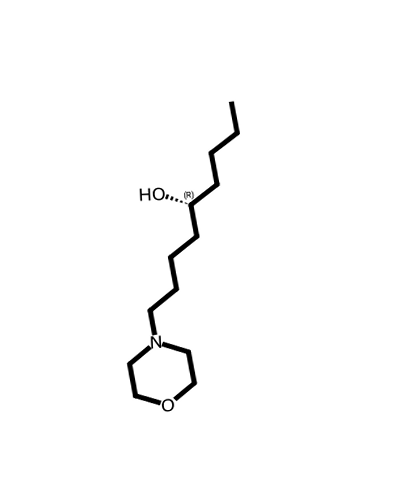 CCCC[C@@H](O)CCCCN1CCOCC1